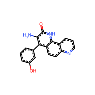 Nc1c(-c2cccc(O)c2)c2ccc3ncccc3c2[nH]c1=O